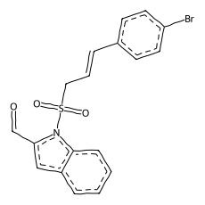 O=Cc1cc2ccccc2n1S(=O)(=O)CC=Cc1ccc(Br)cc1